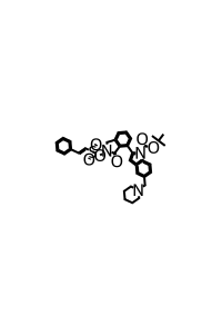 CC(C)(C)OC(=O)n1c(-c2cccc3c2C(=O)N(OS(=O)(=O)/C=C/c2ccccc2)C3)cc2cc(CN3CCCCC3)ccc21